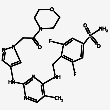 Cc1cnc(Nc2cnn(CC(=O)N3CCOCC3)c2)nc1NCc1c(F)cc(S(N)(=O)=O)cc1F